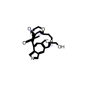 O=C1CC(=O)C2/C=C3/CC/N=C4\c5cc6cncc-6c(cc5CCC4CO)C1=C2/N=C\CO3